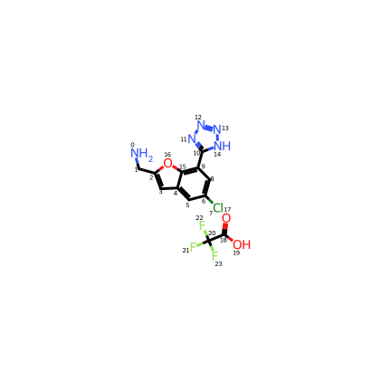 NCc1cc2cc(Cl)cc(-c3nnn[nH]3)c2o1.O=C(O)C(F)(F)F